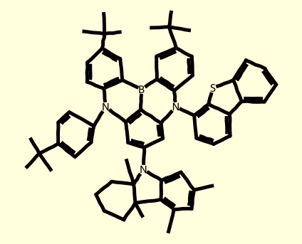 Cc1cc(C)c2c(c1)N(c1cc3c4c(c1)N(c1cccc5c1sc1ccccc15)c1ccc(C(C)(C)C)cc1B4c1cc(C(C)(C)C)ccc1N3c1ccc(C(C)(C)C)cc1)C1(C)CCCCC21C